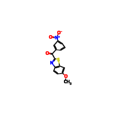 COc1ccc2nc(C(=O)c3cccc([N+](=O)[O-])c3)sc2c1